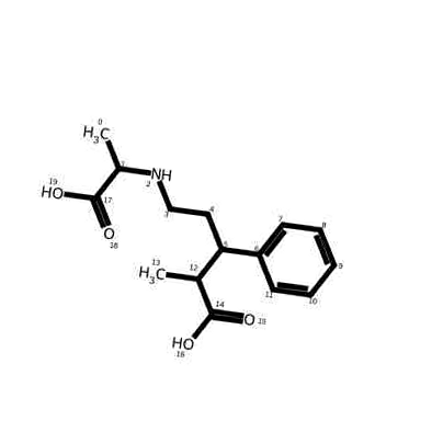 CC(NCCC(c1ccccc1)C(C)C(=O)O)C(=O)O